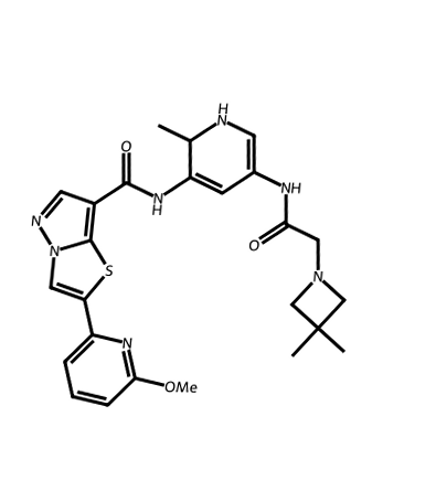 COc1cccc(-c2cn3ncc(C(=O)NC4=CC(NC(=O)CN5CC(C)(C)C5)=CNC4C)c3s2)n1